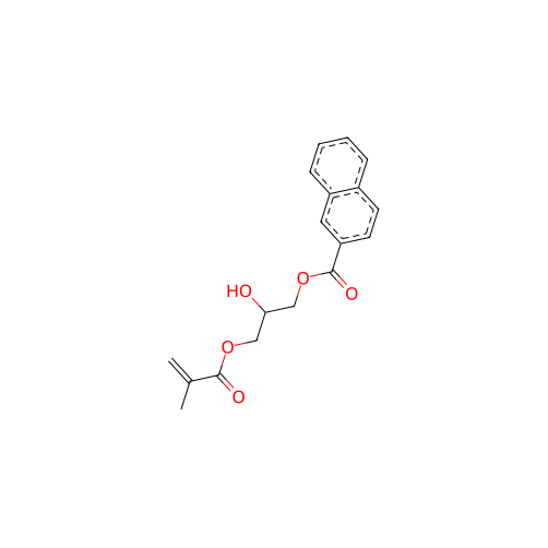 C=C(C)C(=O)OCC(O)COC(=O)c1ccc2ccccc2c1